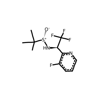 CC(C)(C)[S@+]([O-])N[C@H](c1ncccc1F)C(F)(F)F